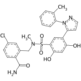 Cc1ccccc1-n1nccc1-c1cc(S(=O)(=O)N(C)Cc2cc(Cl)ccc2C(N)=O)c(O)cc1O